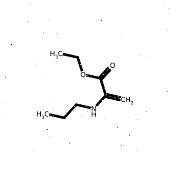 C=C(NCCC)C(=O)OCC